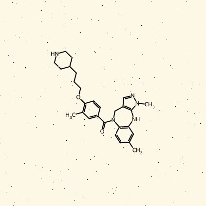 Cc1ccc2c(c1)Nc1c(cnn1C)CN2C(=O)c1ccc(OCCCC2CCNCC2)c(C)c1